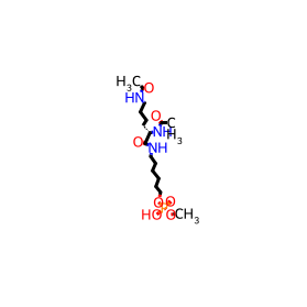 COP(=O)(O)OCCCCCCNC(=O)[C@H](CCCCNC(C)=O)NC(C)=O